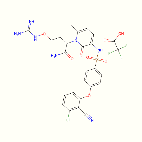 Cc1ccc(NS(=O)(=O)c2ccc(Oc3cccc(Cl)c3C#N)cc2)c(=O)n1C(CCONC(=N)N)C(N)=O.O=C(O)C(F)(F)F